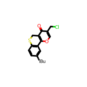 CCC(C)c1ccc2c(c1)-c1occ(CCl)c(=O)c1CS2